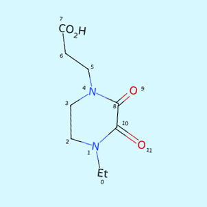 CCN1CCN(CCC(=O)O)C(=O)C1=O